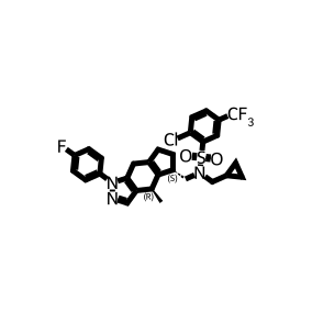 C[C@@H]1C2=C(CC[C@@H]2CN(CC2CC2)S(=O)(=O)c2cc(C(F)(F)F)ccc2Cl)Cc2c1cnn2-c1ccc(F)cc1